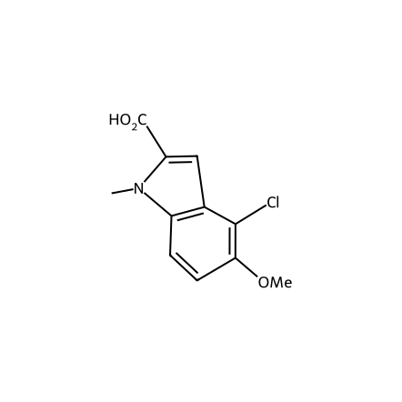 COc1ccc2c(cc(C(=O)O)n2C)c1Cl